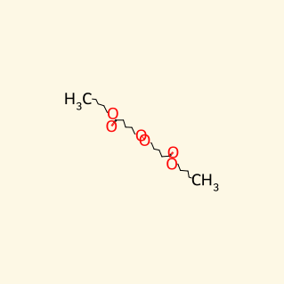 CCCCCOC(=O)CCCCOOCCCCC(=O)OCCCCC